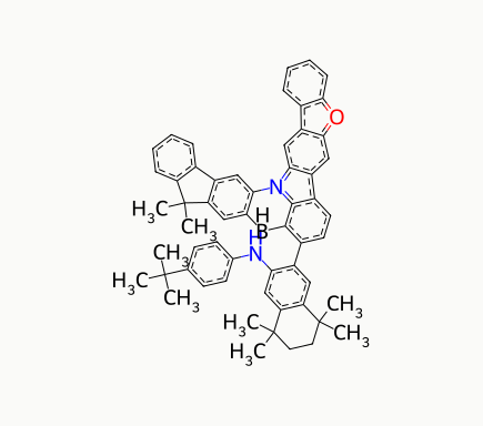 CC(C)(C)c1ccc(Nc2cc3c(cc2-c2ccc4c5cc6oc7ccccc7c6cc5n5c4c2Bc2cc4c(cc2-5)-c2ccccc2C4(C)C)C(C)(C)CCC3(C)C)cc1